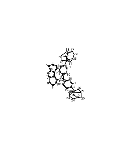 c1ccc2c(c1)sc1cccc(N(c3ccc(C45CC6CC(CC(C6)C4)C5)cc3)c3ccc(C45CC6CC7CC(C4)C5(C7)C6)cc3)c12